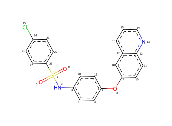 O=S(=O)(Nc1ccc(Oc2ccc3ncccc3c2)cc1)c1ccc(Cl)cc1